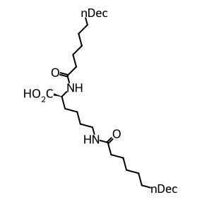 CCCCCCCCCCCCCCCC(=O)NCCCC[C@H](NC(=O)CCCCCCCCCCCCCCC)C(=O)O